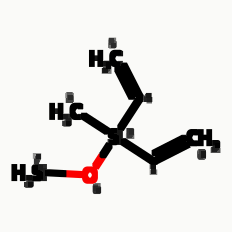 C=C[Si](C)(C=C)O[SiH3]